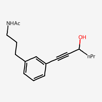 CCCC(O)C#Cc1cccc(CCCNC(C)=O)c1